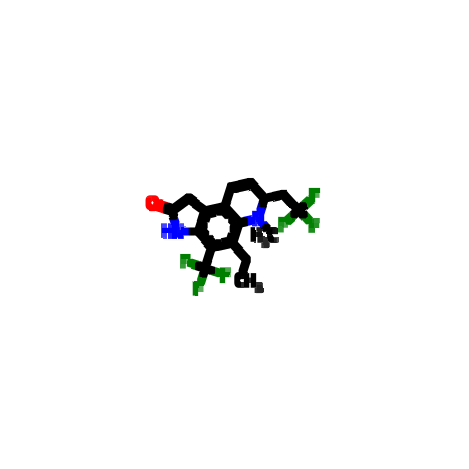 CCc1c2c(c3c(c1C(F)(F)F)NC(=O)C3)C=CC(CC(F)(F)F)N2C